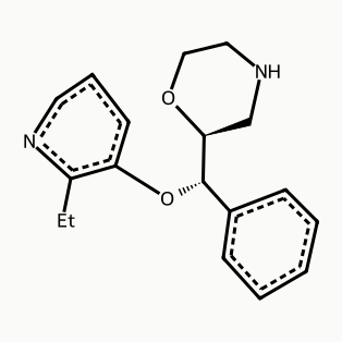 CCc1ncccc1O[C@@H](c1ccccc1)[C@@H]1CNCCO1